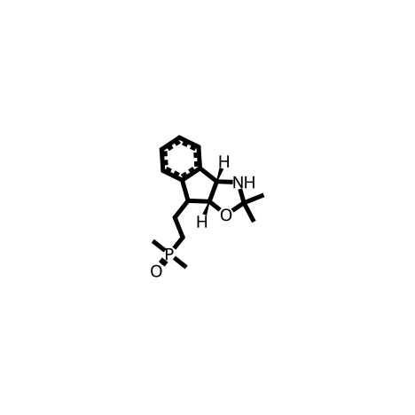 CC1(C)N[C@H]2c3ccccc3C(CCP(C)(C)=O)[C@H]2O1